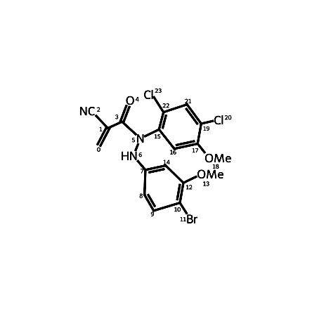 C=C(C#N)C(=O)N(Nc1ccc(Br)c(OC)c1)c1cc(OC)c(Cl)cc1Cl